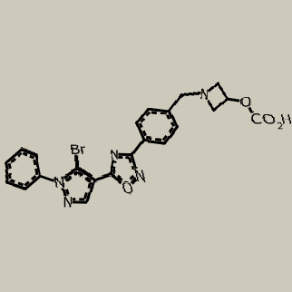 O=C(O)OC1CN(Cc2ccc(-c3noc(-c4cnn(-c5ccccc5)c4Br)n3)cc2)C1